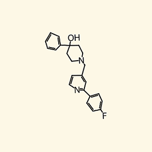 OC1(c2ccccc2)CCN(Cc2ccnc(-c3ccc(F)cc3)c2)CC1